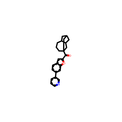 O=C(c1cc2ccc(-c3cccnc3)cc2o1)C12CCCC3CC(CC3C1)C2